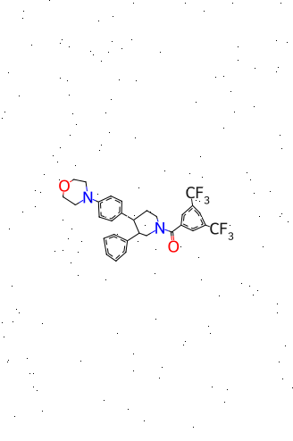 O=C(c1cc(C(F)(F)F)cc(C(F)(F)F)c1)N1CCC(c2ccc(N3CCOCC3)cc2)C(c2ccccc2)C1